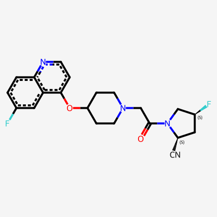 N#C[C@@H]1C[C@H](F)CN1C(=O)CN1CCC(Oc2ccnc3ccc(F)cc23)CC1